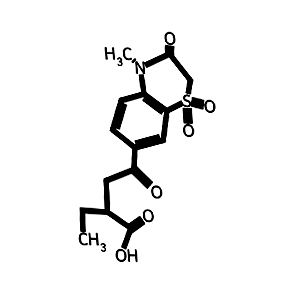 CCC(CC(=O)c1ccc2c(c1)S(=O)(=O)CC(=O)N2C)C(=O)O